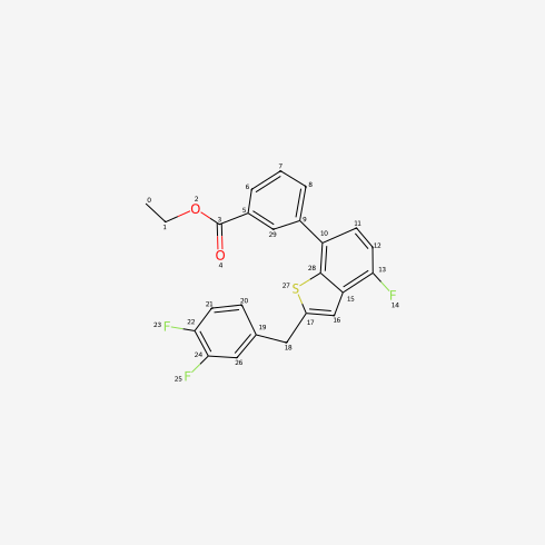 CCOC(=O)c1cccc(-c2ccc(F)c3cc(Cc4ccc(F)c(F)c4)sc23)c1